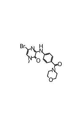 Cn1cc(Br)nc(Nc2ccc(C(=O)N3CCOCC3)cc2)c1=O